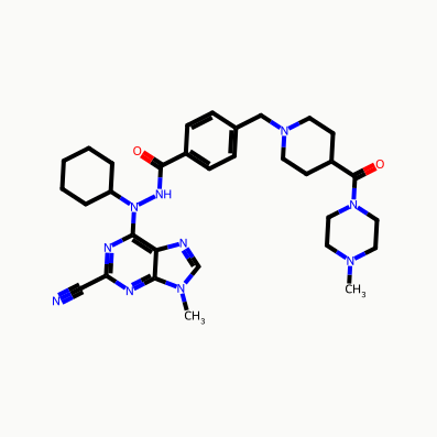 CN1CCN(C(=O)C2CCN(Cc3ccc(C(=O)NN(c4nc(C#N)nc5c4ncn5C)C4CCCCC4)cc3)CC2)CC1